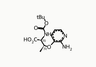 C[C@H](Oc1cccnc1N)[C@H](NC(=O)OC(C)(C)C)C(=O)O